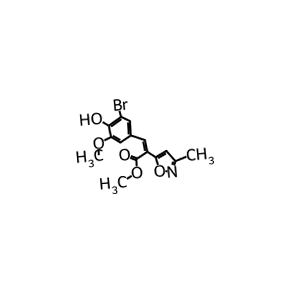 COC(=O)C(=Cc1cc(Br)c(O)c(OC)c1)c1cc(C)no1